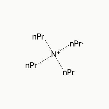 CC[CH][N+](CCC)(CCC)CCC